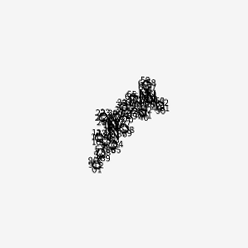 c1ccc(-c2ccc(-c3c4ccccc4c(-c4cc(-c5ccccc5-c5ccc6c(c5)-c5cccc7c(-c8c9ccccc9c(-c9cc(-c%10ccccc%10)nc(-c%10ccccc%10)n9)c9ccccc89)ccc-6c57)nc(-c5ccccc5)n4)c4ccccc34)cc2)cc1